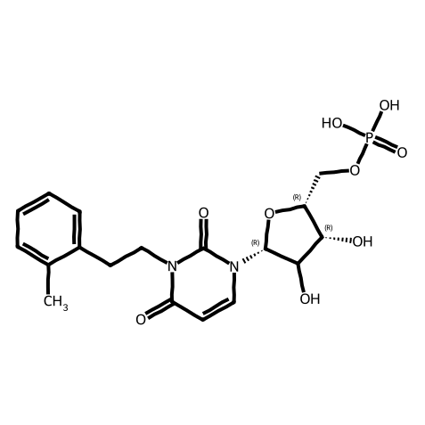 Cc1ccccc1CCn1c(=O)ccn([C@@H]2O[C@H](COP(=O)(O)O)[C@H](O)C2O)c1=O